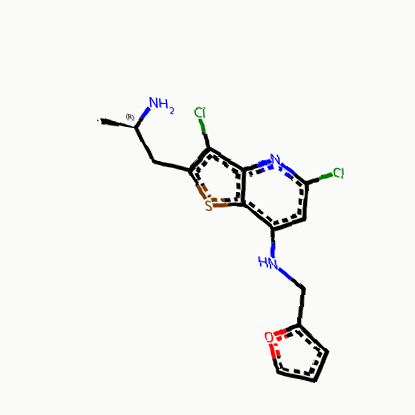 [CH2][C@@H](N)Cc1sc2c(NCc3ccco3)cc(Cl)nc2c1Cl